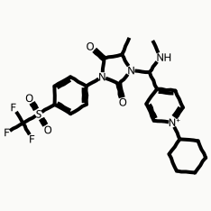 CNC(c1cc[n+](C2CCCCC2)cc1)N1C(=O)N(c2ccc(S(=O)(=O)C(F)(F)F)cc2)C(=O)C1C